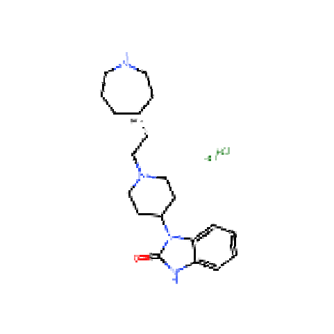 Cl.Cl.O=c1[nH]c2ccccc2n1C1CCN(CC[C@@H]2CCCNCC2)CC1